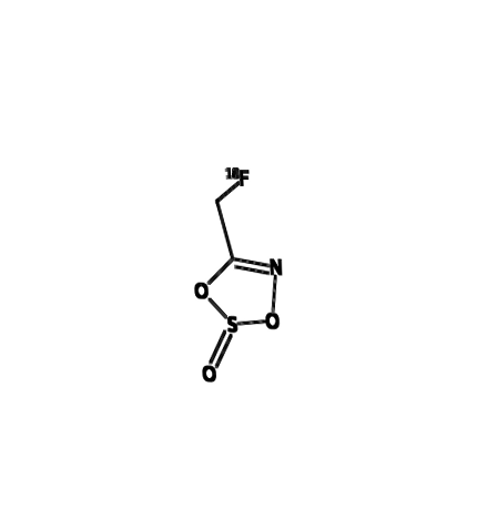 O=S1ON=C(C[18F])O1